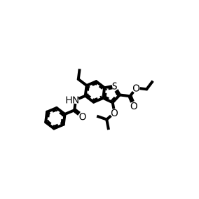 CCOC(=O)c1sc2cc(CC)c(NC(=O)c3ccccc3)cc2c1OC(C)C